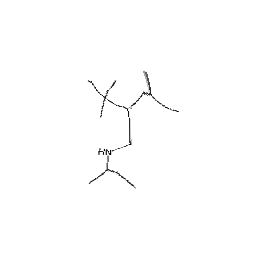 CC(C)NC[C](C(C)C)C(C)(C)C